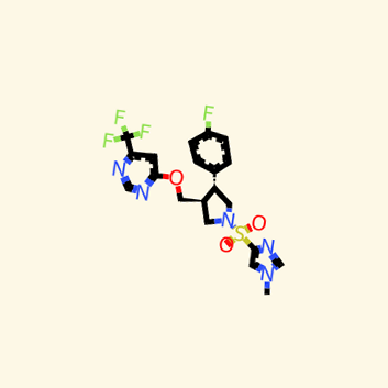 Cn1cnc(S(=O)(=O)N2C[C@@H](COc3cc(C(F)(F)F)ncn3)[C@H](c3ccc(F)cc3)C2)c1